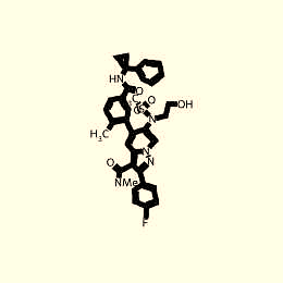 CNC(=O)c1c(-c2ccc(F)cc2)nn2cc(N(CCO)S(C)(=O)=O)c(-c3cc(C(=O)NC4(c5ccccc5)CC4)ccc3C)cc12